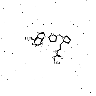 CC(C)(C)OC(=O)NCC[C@@H]1CCCN1C[C@@H]1CC[C@H](n2cnc3c(N)ncnc32)O1